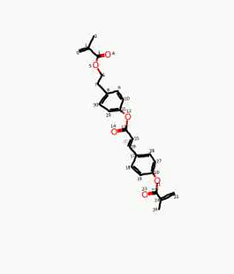 C=C(C)C(=O)OCCc1ccc(OC(=O)/C=C/c2ccc(OC(=O)C(=C)C)cc2)cc1